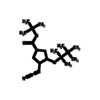 CC(C)(C)OC(=O)N1CC(N=[N+]=[N-])C(O[Si](C)(C)C(C)(C)C)C1